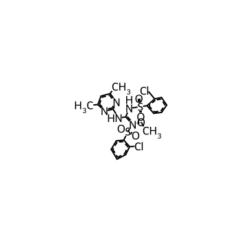 CO[N+](=C(Nc1nc(C)cc(C)n1)NS(=O)(=O)c1ccccc1Cl)S(=O)(=O)c1ccccc1Cl